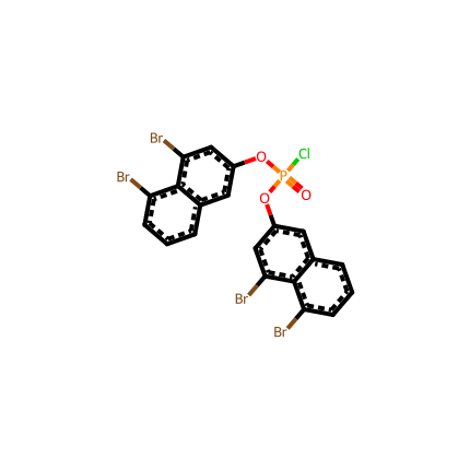 O=P(Cl)(Oc1cc(Br)c2c(Br)cccc2c1)Oc1cc(Br)c2c(Br)cccc2c1